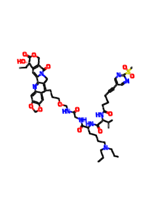 CCCN(CCC)CCCCC(NC(=O)C(NC(=O)CCCC#Cc1cnc(S(C)(=O)=O)nc1)C(C)C)C(=O)NCC(=O)NCOCCCc1c2c(nc3cc4c(cc13)OCO4)-c1cc3c(c(=O)n1C2)COC(=O)[C@]3(O)CC